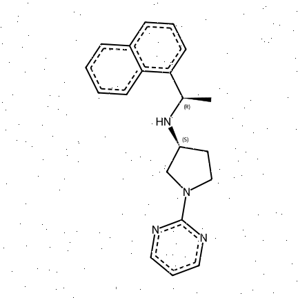 C[C@@H](N[C@H]1CCN(c2ncccn2)C1)c1cccc2ccccc12